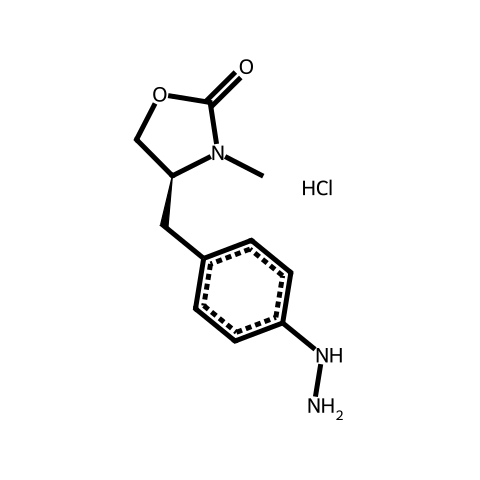 CN1C(=O)OC[C@@H]1Cc1ccc(NN)cc1.Cl